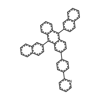 c1ccc(-c2ccc(-c3ccc4c(-c5ccc6ccccc6c5)c5ccccc5c(-c5ccc6ccccc6c5)c4c3)cc2)nc1